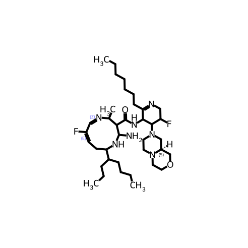 CCCCCCCC1=NCC(F)C(N2CCN3CCOC[C@@H]3C2)C1NC(=O)C1C(C)/N=C\C(F)=C/CC(C(CCC)CCCC)NC1N